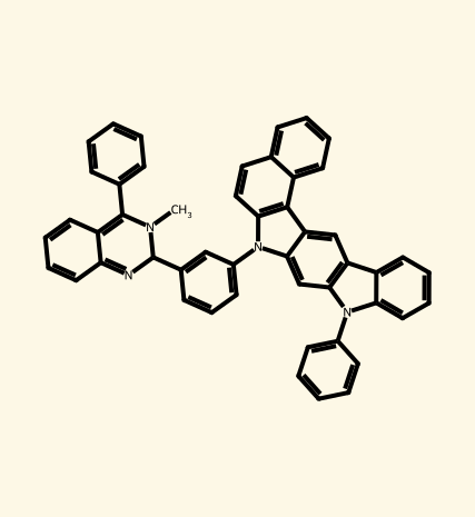 CN1C(c2ccccc2)=c2ccccc2=NC1c1cccc(-n2c3cc4c(cc3c3c5ccccc5ccc32)c2ccccc2n4-c2ccccc2)c1